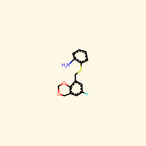 Nc1ccccc1SCc1cc(F)cc2c1OCOC2